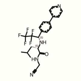 CC(C)C[C@H](N[C@@H](c1ccc(-c2ccncc2)cc1)C(F)(F)C(F)(F)F)C(=O)NCC#N